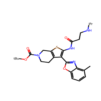 Cc1cccc2oc(-c3c(NC(=O)CCNC(C)C)sc4c3CCN(C(=O)OC(C)(C)C)C4)nc12